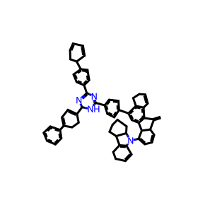 C=C1c2c(cc(-c3ccc(C4=NC(c5ccc(C6C=CC=CC6)cc5)=NC(C5=CC=C(c6ccccc6)CC5)N4)cc3)c3c2C=CCC3)C2C(N3C4=C(CCC=C4)C4CCCCC43)=CC=CC12